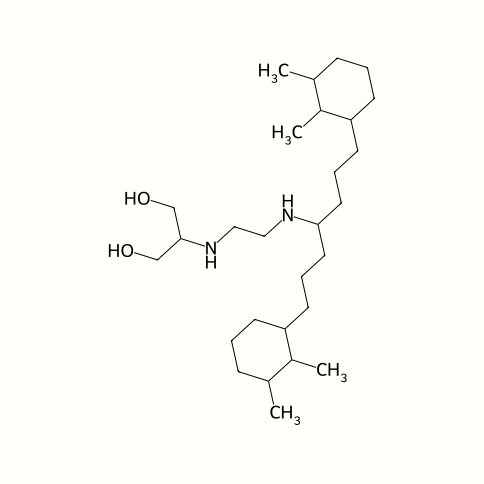 CC1CCCC(CCCC(CCCC2CCCC(C)C2C)NCCNC(CO)CO)C1C